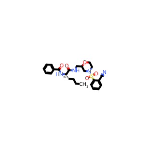 CCCC[C@H](NC(=O)c1ccccc1)C(=O)NCC1CN(S(=O)(=O)c2ccccc2C#N)CCO1